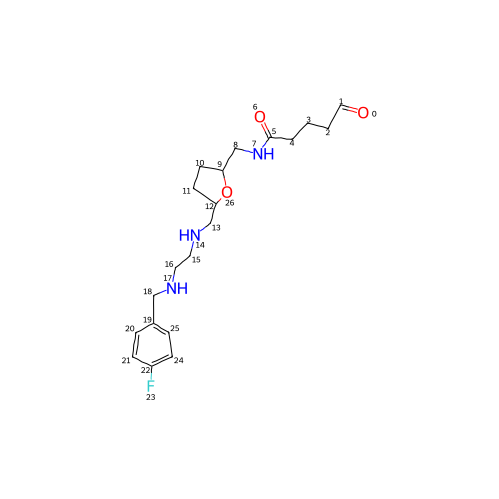 O=CCCCC(=O)NCC1CCC(CNCCNCc2ccc(F)cc2)O1